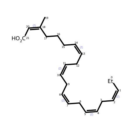 CC/C=C\C/C=C\C/C=C\C/C=C\C/C=C\CCC/C(C)=C\C(=O)O